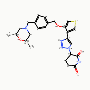 C[C@@H]1CN(Cc2ccc(COc3cscc3-c3cn(C4CCC(=O)NC4=O)nn3)cc2)C[C@H](C)O1